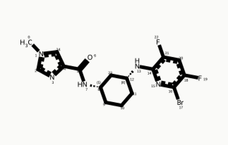 Cn1cnc(C(=O)N[C@H]2CCC[C@@H](Nc3nc(Br)c(F)cc3F)C2)c1